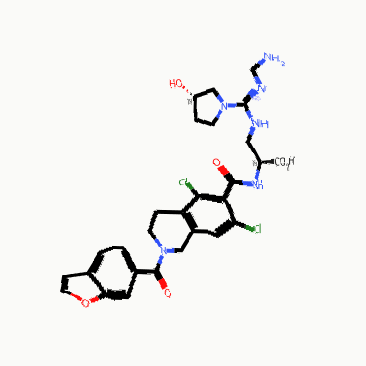 NC/N=C(/NC[C@H](NC(=O)c1c(Cl)cc2c(c1Cl)CCN(C(=O)c1ccc3ccoc3c1)C2)C(=O)O)N1CC[C@H](O)C1